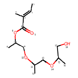 C/C=C(\C)C(=O)OC(C)COC(C)COC(C)CO